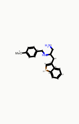 COc1ccc(CNC(CN)Cc2csc3ccccc23)cc1